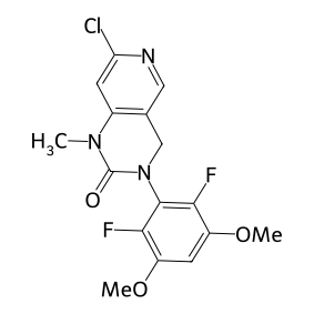 COc1cc(OC)c(F)c(N2Cc3cnc(Cl)cc3N(C)C2=O)c1F